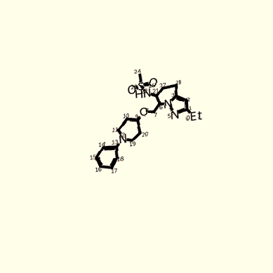 CCc1cc2n(n1)C(COC1CCN(c3ccccc3)CC1)C(NS(C)(=O)=O)CC2